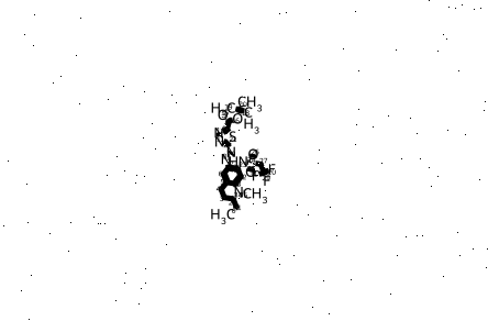 CCC1CCc2cc(N=Nc3nnc(C(=O)OC(C)(C)C)s3)c(NS(=O)(=O)CC(F)(F)F)cc2N1C